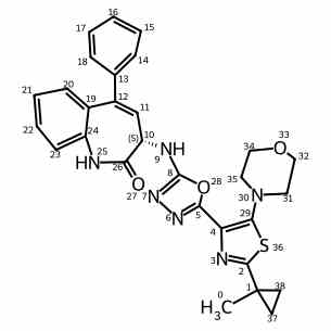 CC1(c2nc(-c3nnc(N[C@H]4C=C(c5ccccc5)c5ccccc5NC4=O)o3)c(N3CCOCC3)s2)CC1